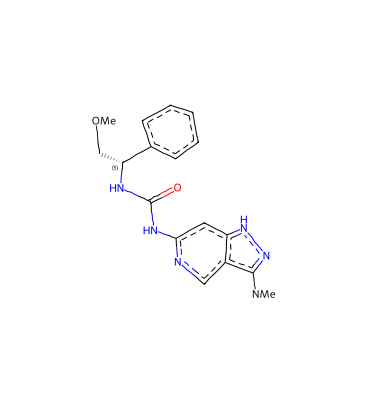 CNc1n[nH]c2cc(NC(=O)N[C@H](COC)c3ccccc3)ncc12